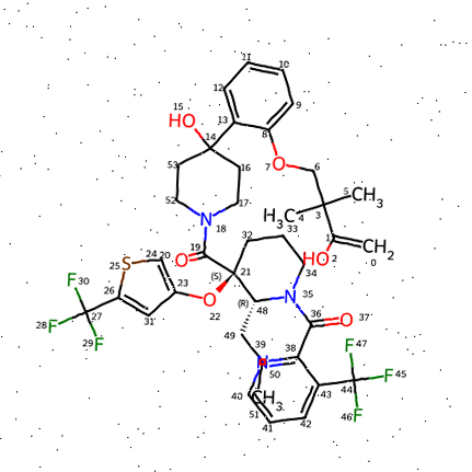 C=C(O)C(C)(C)COc1ccccc1C1(O)CCN(C(=O)[C@]2(Oc3csc(C(F)(F)F)c3)CCCN(C(=O)c3ncccc3C(F)(F)F)[C@@H]2CCC)CC1